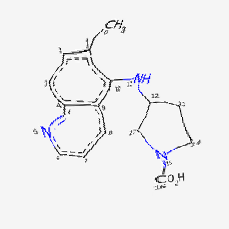 Cc1ccc2ncccc2c1NC1CCN(C(=O)O)C1